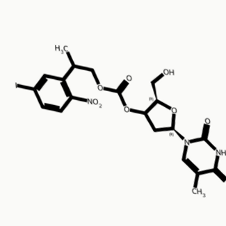 Cc1cn([C@H]2CC(OC(=O)OCC(C)c3cc(I)ccc3[N+](=O)[O-])[C@@H](CO)O2)c(=O)[nH]c1=O